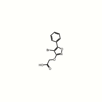 O=C(O)COc1noc(-c2ccccc2)c1Br